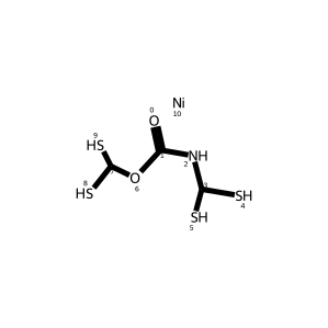 O=C(NC(S)S)OC(S)S.[Ni]